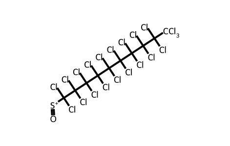 O=[S+]C(Cl)(Cl)C(Cl)(Cl)C(Cl)(Cl)C(Cl)(Cl)C(Cl)(Cl)C(Cl)(Cl)C(Cl)(Cl)C(Cl)(Cl)C(Cl)(Cl)C(Cl)(Cl)Cl